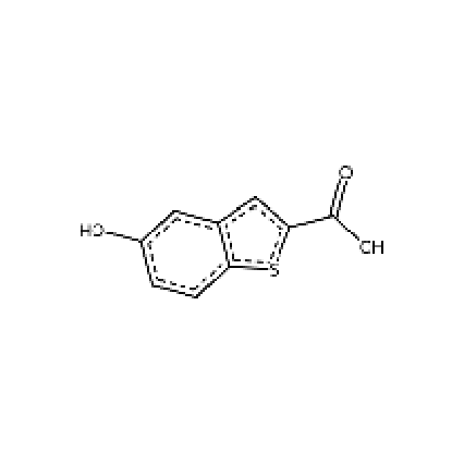 O=C(O)c1cc2cc(O)ccc2s1